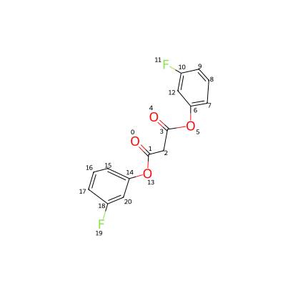 O=C(CC(=O)Oc1cccc(F)c1)Oc1cccc(F)c1